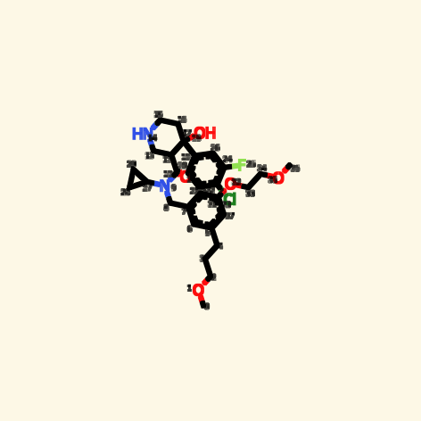 COCCCc1cc(CN(C(=O)C2CNCCC2(O)c2ccc(Cl)c(F)c2)C2CC2)cc(OCCOC)c1